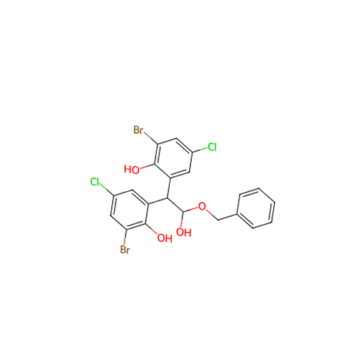 Oc1c(Br)cc(Cl)cc1C(c1cc(Cl)cc(Br)c1O)C(O)OCc1ccccc1